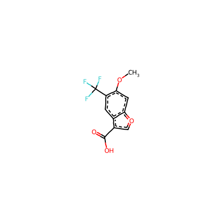 COc1cc2occ(C(=O)O)c2cc1C(F)(F)F